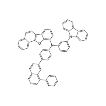 c1ccc(-c2cccc3ccc(-c4ccc(N(c5cccc(-n6c7ccccc7c7ccccc76)c5)c5cccc6c5oc5c7ccccc7ccc65)cc4)cc23)cc1